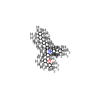 Bc1c(B)c(B)c(-c2c(B)c(B)c(N(c3c(B)c(B)c(-c4c(B)c(B)c(-c5c(B)c(B)c6c(B)c(B)c(B)c(B)c6c5B)c(B)c4B)c(B)c3B)c3c(B)c(B)c(-c4c(B)c(B)c(B)c5c4oc4c(B)c(B)c(B)c(B)c45)c(B)c3B)c(B)c2B)c(B)c1B